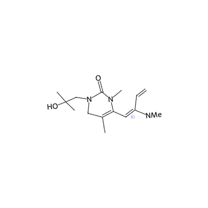 C=C/C(=C\C1=C(C)CN(CC(C)(C)O)C(=O)N1C)NC